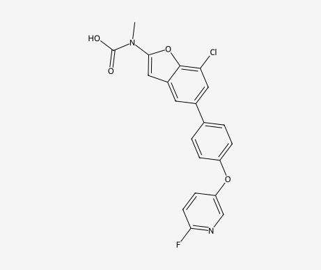 CN(C(=O)O)c1cc2cc(-c3ccc(Oc4ccc(F)nc4)cc3)cc(Cl)c2o1